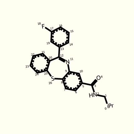 CC(C)CNC(=O)c1ccc2c(c1)N=C(c1cccc(F)c1)c1ccccc1S2